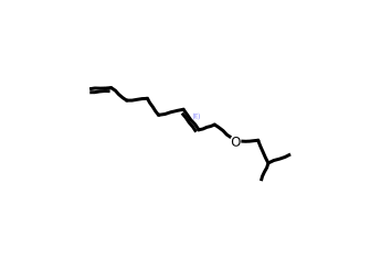 C=CCCC/C=C/COCC(C)C